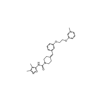 Cc1cccc(OCCOc2cccc(C=C3CCN(C(=O)Nc4onc(C)c4C)CC3)c2)c1